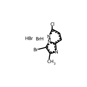 Br.Br.Cc1nc2ccc(Cl)nn2c1Br